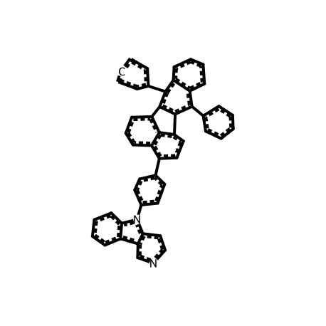 c1ccc(-c2c3c(c(-c4ccccc4)c4ccccc24)-c2ccc(-c4ccc(-n5c6ccccc6c6cnccc65)cc4)c4cccc-3c24)cc1